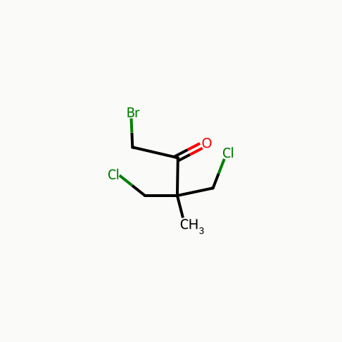 CC(CCl)(CCl)C(=O)CBr